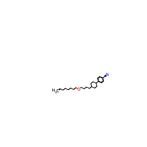 C=CCCCCCCOCCCCC1CCC(c2ccc(C#N)cc2)CC1